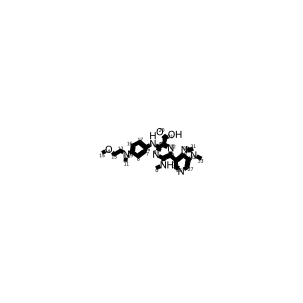 CNc1nc(Nc2ccc(N(C)CCOC)cc2)c(C(=O)O)nc1-c1cncc2c1ncn2C